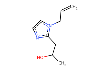 C=CCn1ccnc1CC(C)O